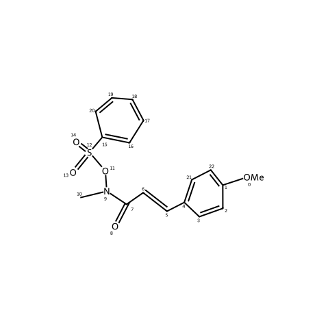 COc1ccc(C=CC(=O)N(C)OS(=O)(=O)c2ccccc2)cc1